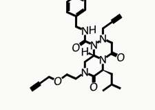 C#CCOCCN1C[C@H]2N(C(=O)CN(CC#C)N2C(=O)NCc2ccccc2)[C@@H](CC(C)C)C1=O